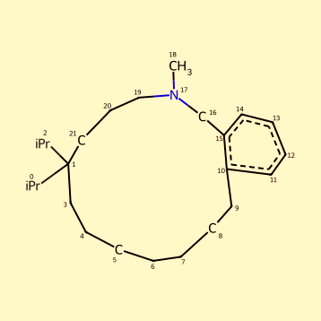 CC(C)C1(C(C)C)CCCCCCCc2ccccc2CN(C)CCC1